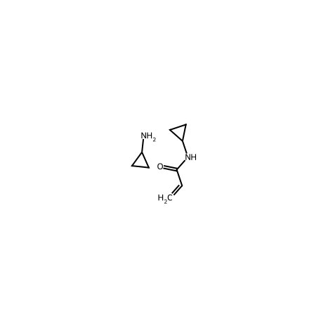 C=CC(=O)NC1CC1.NC1CC1